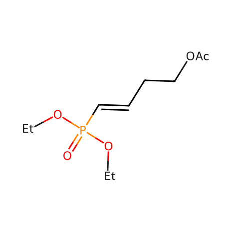 CCOP(=O)(/C=C/CCOC(C)=O)OCC